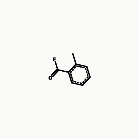 Cc1ccccc1C(=O)F